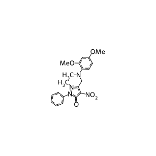 COc1ccc(N(C)Cc2c([N+](=O)[O-])c(=O)n(-c3ccccc3)n2C)c(OC)c1